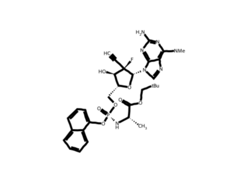 C#C[C@@]1(F)[C@H](O)[C@@H](CO[P@@](=O)(N[C@@H](C)C(=O)OCC(C)(C)C)Oc2cccc3ccccc23)O[C@H]1n1cnc2c(NC)nc(N)nc21